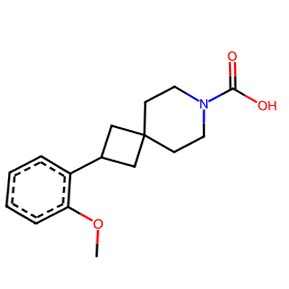 COc1ccccc1C1CC2(CCN(C(=O)O)CC2)C1